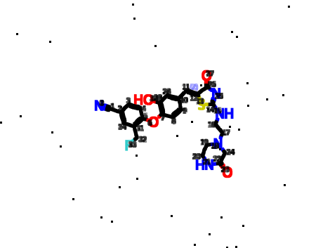 N#Cc1ccc(Oc2ccc(/C=C3\SC(NCCN4CCNC(=O)C4)=NC3=O)cc2O)c(CF)c1